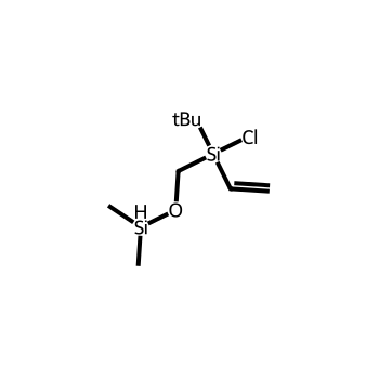 C=C[Si](Cl)(CO[SiH](C)C)C(C)(C)C